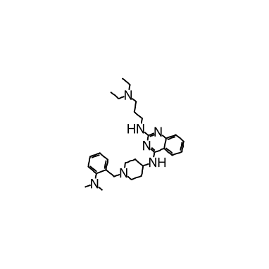 CCN(CC)CCCNc1nc(NC2CCN(Cc3ccccc3N(C)C)CC2)c2ccccc2n1